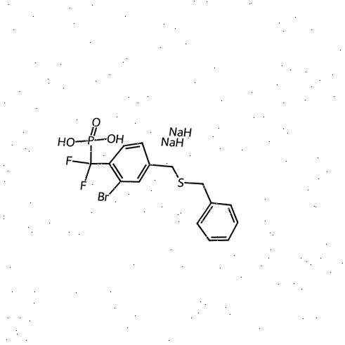 O=P(O)(O)C(F)(F)c1ccc(CSCc2ccccc2)cc1Br.[NaH].[NaH]